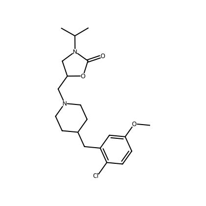 COc1ccc(Cl)c(CC2CCN(CC3CN(C(C)C)C(=O)O3)CC2)c1